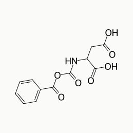 O=C(O)CC(NC(=O)OC(=O)c1ccccc1)C(=O)O